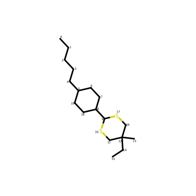 CCCCCC1CCC(C2SCC(C)(CC)CS2)CC1